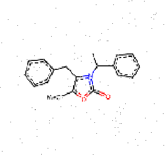 COc1oc(=O)n(C(C)c2ccccc2)c1Cc1ccccc1